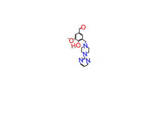 COc1cc(C=O)cc(CN2CCN(c3ncccn3)CC2)c1O